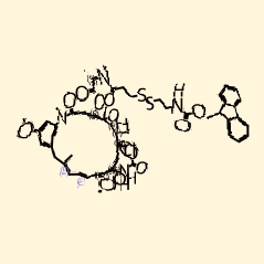 COc1cc2cc(c1)N(C)C(=O)C[C@H](OC(=O)[C@H](C)N(C)C(=O)CCSSCCNC(=O)OCC1c3ccccc3-c3ccccc31)C1(C)O[C@H]1[C@@H](C)[C@@]1(Cl)C[C@@](O)(NC(=O)O1)[C@H](OC)/C=C/C=C(\C)C2